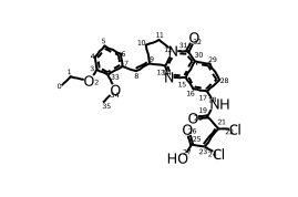 CCOc1cccc(C=C2CCn3c2nc2cc(NC(=O)/C(Cl)=C(/Cl)C(=O)O)ccc2c3=O)c1OC